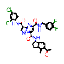 CC(=O)c1ccc2c(c1C)CC[C@@H]2NC(=O)c1cc(C(=O)NCc2ccc(F)c(F)c2)nc2c(C(=O)Nc3ccc(Cl)cc3Cl)cnn12